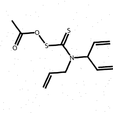 C=CCN(C(=S)SOC(C)=O)C(C=C)C=C